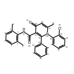 Cc1cccc(C)c1NC(=O)c1c(-c2ccccc2)n(-c2ccccc2Cl)c(C)cc1=O